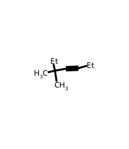 CCC#CC(C)(C)CC